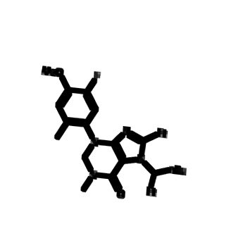 CCCCC(CC)n1c(CC)nc2c1C(=O)N(C)CN2c1cc(F)c(OC)cc1C